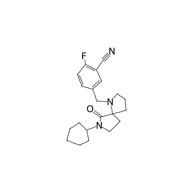 N#Cc1cc(CN2CCCC23CCN(C2CCCCC2)C3=O)ccc1F